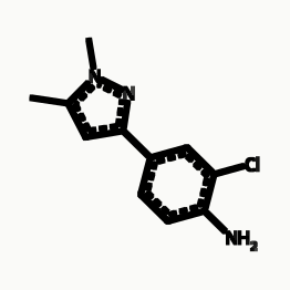 Cc1cc(-c2ccc(N)c(Cl)c2)nn1C